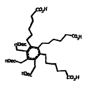 CCCCCCCCCCCc1c(CCCCCCCCCCC)c(CCCCCC(=O)O)c(CCCCCC(=O)O)c(CCCCCC(=O)O)c1CCCCCCCCCCC